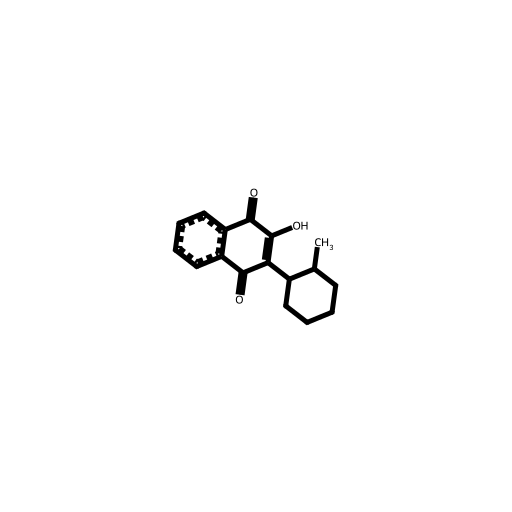 CC1CCCCC1C1=C(O)C(=O)c2ccccc2C1=O